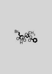 C[C@H]1O[C@@H](n2cc(C=CBr)c(=O)[nH]c2=O)C[C@@H]1OC(=O)c1ccccc1